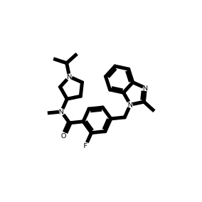 Cc1nc2ccccc2n1Cc1ccc(C(=O)N(C)C2CCN(C(C)C)C2)c(F)c1